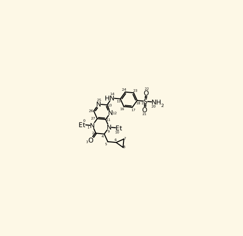 CCN1C(=O)C(CC2CC2)N(CC)c2nc(Nc3ccc(S(N)(=O)=O)cc3)ncc21